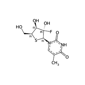 Cc1cn([C@H]2S[C@@H](CO)[C@@H](O)[C@@]2(O)F)c(=O)[nH]c1=O